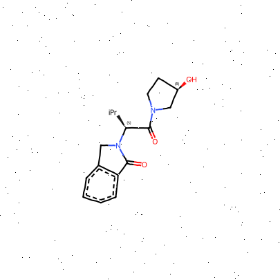 CC(C)[C@@H](C(=O)N1CC[C@@H](O)C1)N1Cc2ccccc2C1=O